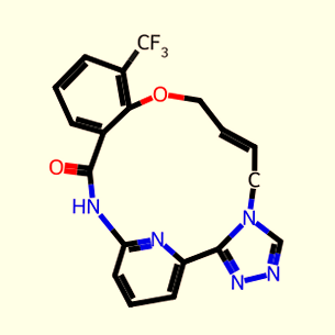 O=C1Nc2cccc(n2)-c2nncn2C/C=C/COc2c1cccc2C(F)(F)F